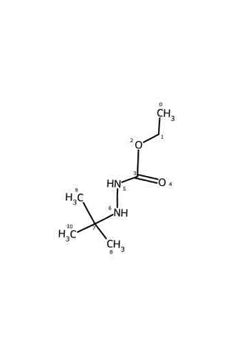 CCOC(=O)NNC(C)(C)C